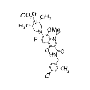 CCOC(=O)CN1[C@H](C)CN(c2c(F)cc3c(=O)c(C(=O)NCc4ccc(Cl)cc4C)cn(C4CC4)c3c2OC)C[C@@H]1C